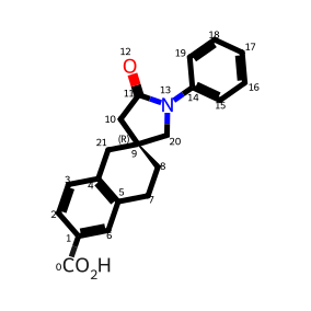 O=C(O)c1ccc2c(c1)CC[C@]1(CC(=O)N(c3ccccc3)C1)C2